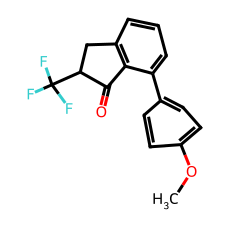 COc1ccc(-c2cccc3c2C(=O)C(C(F)(F)F)C3)cc1